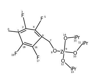 Cc1c(F)c(F)c(C[O][Zr]([O]C(C)C)([O]C(C)C)[O]C(C)C)c(F)c1F